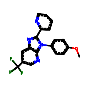 COc1ccc(-n2c(-c3ccccn3)nc3cc(C(F)(F)F)cnc32)cc1